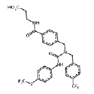 O=C(O)CCNC(=O)c1ccc(CN(Cc2ccc(C(F)(F)F)cc2)C(=O)Nc2ccc(SC(F)(F)F)cc2)cc1